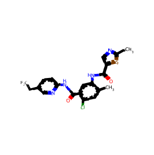 Cc1ncc(C(=O)Nc2cc(C(=O)Nc3ccc(CC(F)(F)F)cn3)c(Cl)cc2C)s1